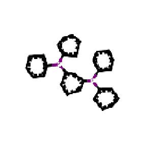 [c]1c(P(c2ccccc2)c2ccccc2)cccc1P(c1ccccc1)c1ccccc1